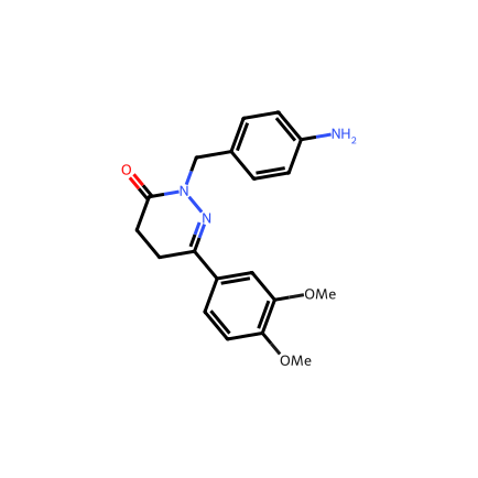 COc1ccc(C2=NN(Cc3ccc(N)cc3)C(=O)CC2)cc1OC